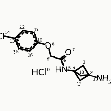 Cl.NC12CC(NC(=O)COc3ccc(Cl)cc3)(C1)C2